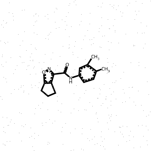 Cc1ccc(NC(=O)c2noc3c2CCC3)cc1C